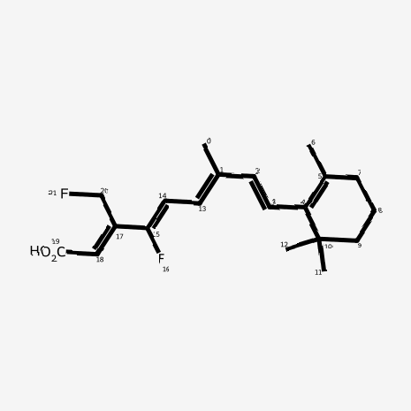 CC(C=CC1=C(C)CCCC1(C)C)=CC=C(F)C(=CC(=O)O)CF